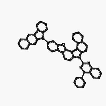 c1ccc(-c2nc(-n3c4ccc5ccccc5c4c4c5oc6cc(-n7c8ccccc8c8cc9ccccc9cc87)ccc6c5ccc43)nc3ccccc23)cc1